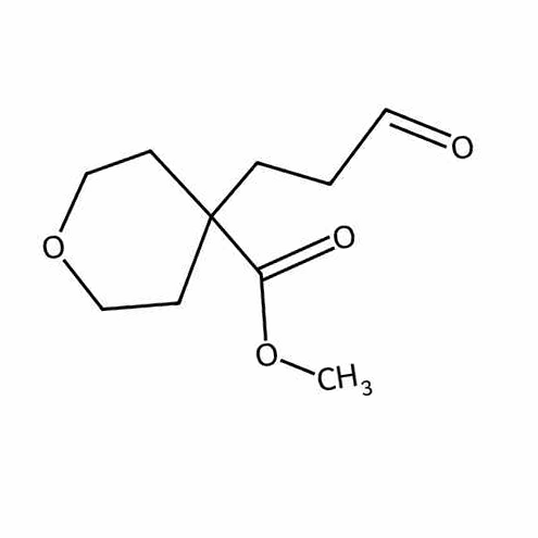 COC(=O)C1(CCC=O)CCOCC1